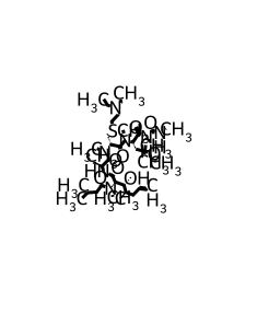 C/C=C/C[C@@H](C)[C@@H](O)[C@@H](C(=O)N[C@@H](CC)C(=O)N(C)[C@H](CSCCN(CC)CC)C(=O)N(C)[C@@H](CC(C)(C)OC)C(=O)NC(=O)NC)N(C)C(=O)CC(C)C